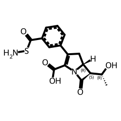 C[C@@H](O)[C@H]1C(=O)N2C(C(=O)O)=C(c3cccc(C(=O)SN)c3)C[C@H]12